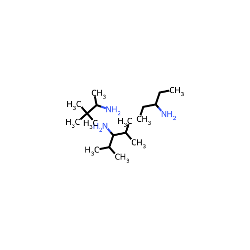 CC(C)C(N)C(C)C.CC(N)C(C)(C)C.CCC(N)CC